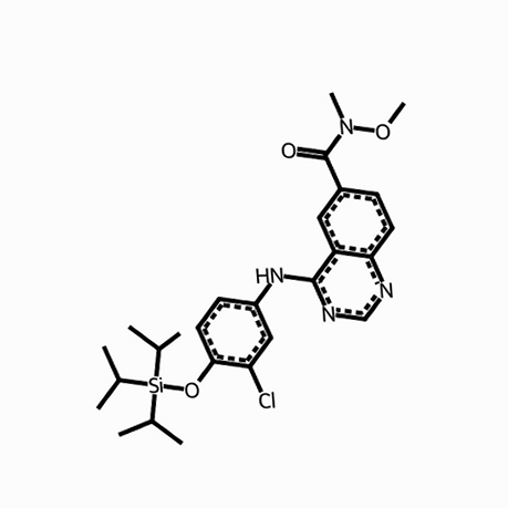 CON(C)C(=O)c1ccc2ncnc(Nc3ccc(O[Si](C(C)C)(C(C)C)C(C)C)c(Cl)c3)c2c1